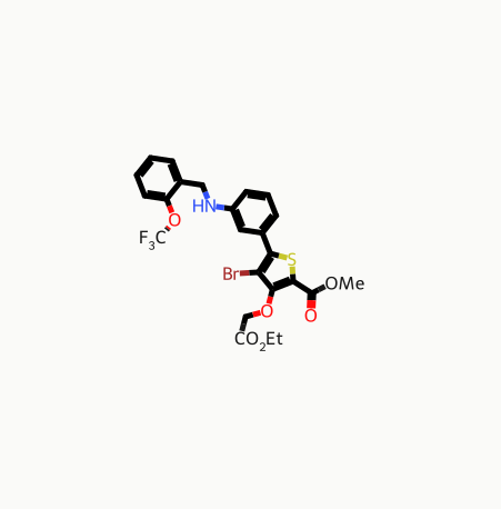 CCOC(=O)COc1c(C(=O)OC)sc(-c2cccc(NCc3ccccc3OC(F)(F)F)c2)c1Br